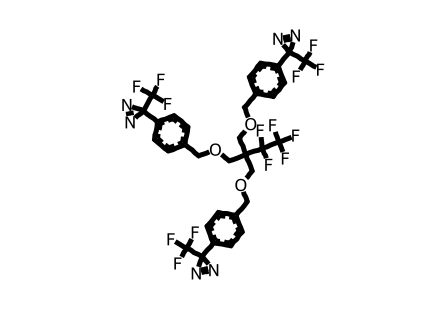 FC(F)(F)C1(c2ccc(COCC(COCc3ccc(C4(C(F)(F)F)N=N4)cc3)(COCc3ccc(C4(C(F)(F)F)N=N4)cc3)C(F)(F)C(F)(F)F)cc2)N=N1